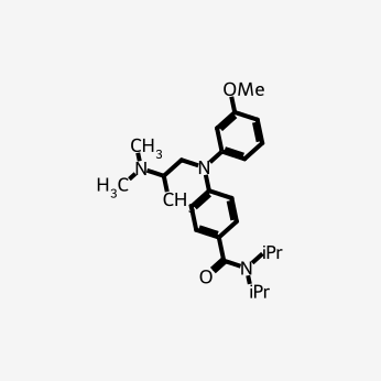 COc1cccc(N(CC(C)N(C)C)c2ccc(C(=O)N(C(C)C)C(C)C)cc2)c1